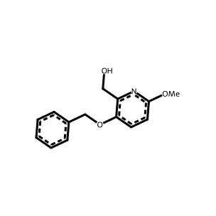 COc1ccc(OCc2ccccc2)c(CO)n1